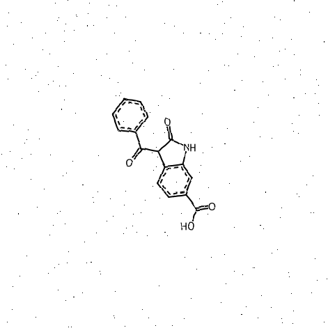 O=C(O)c1ccc2c(c1)NC(=O)C2C(=O)c1ccccc1